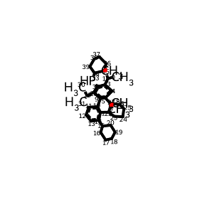 CC(C)c1cc(C(C)C)c(-c2cccc(C3CCCCC3)c2C2CCCCC2)c(C(C)C)c1PC1CCCCC1